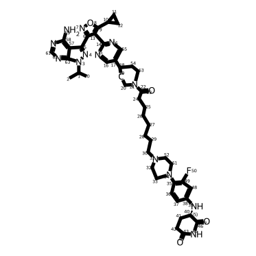 CC(C)n1nc(-c2noc(C3CC3)c2-c2ncc(C3CCN(C(=O)CCCCCCCN4CCN(c5ccc(N[C@H]6CCC(=O)NC6=O)cc5F)CC4)CC3)cn2)c2c(N)ncnc21